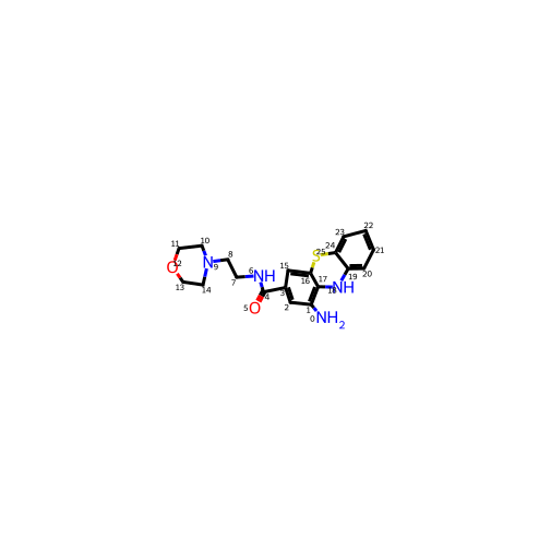 Nc1cc(C(=O)NCCN2CCOCC2)cc2c1Nc1ccccc1S2